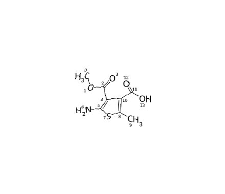 COC(=O)c1c(N)sc(C)c1C(=O)O